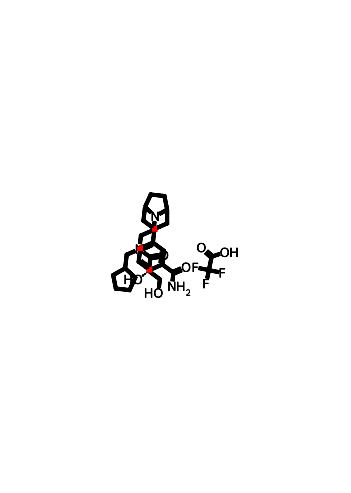 NC(=O)c1cccc(C2CC3CCC(C2)N3CCN(CC2CCCC2)C(=O)[C@@H](O)CO)c1.O=C(O)C(F)(F)F